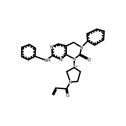 C=CC(=O)N1CC[C@H](N2C(=O)N(c3ccccc3)Cc3cnc(Nc4ccccc4)nc32)C1